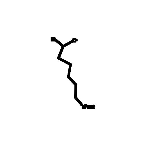 CCCCCCCCCCC([O])CC